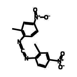 Cc1cc([N+](=O)[O-])ccc1N=C=Nc1ccc([N+](=O)[O-])cc1C